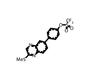 CSc1cnc2cc(-c3ccc(OS(=O)(=O)C(F)(F)F)cc3)ccc2n1